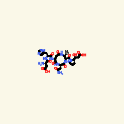 C[C@@H]1NC(=O)C[C@@H](NC(=O)[C@H](Cc2cnc[nH]2)NC(=O)[C@@H](N)CC(=O)O)C(=O)N[C@@H](CC(N)=O)C(=O)N[C@@H]1C(=O)N1CCC[C@H]1[C@H](O)CC(=O)O